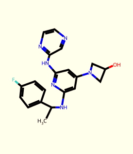 CC(Nc1cc(N2CC(O)C2)cc(Nc2cnccn2)n1)c1ccc(F)cc1